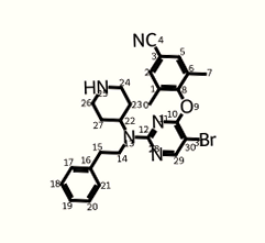 Cc1cc(C#N)cc(C)c1Oc1nc(N(CCc2ccccc2)C2CCNCC2)ncc1Br